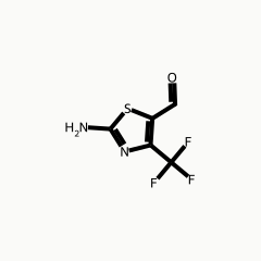 Nc1nc(C(F)(F)F)c(C=O)s1